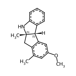 COc1cc(C)c2c(c1)[C@H]1c3ccccc3N[C@@]1(C)C2